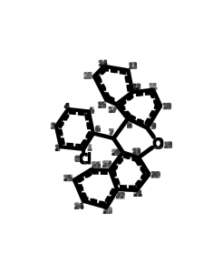 Clc1ccccc1C1c2c(ccc3ccccc23)Oc2ccc3ccccc3c21